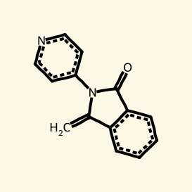 C=C1c2ccccc2C(=O)N1c1ccncc1